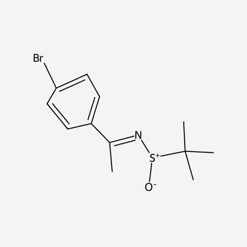 CC(=N[S+]([O-])C(C)(C)C)c1ccc(Br)cc1